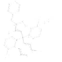 Cc1cccc(C(C2=[C]([Ti+3])C(Cc3ccccc3)=CC2)(c2cccc(C)c2)c2cccc(C)c2)c1.[Cl-].[Cl-].[Cl-]